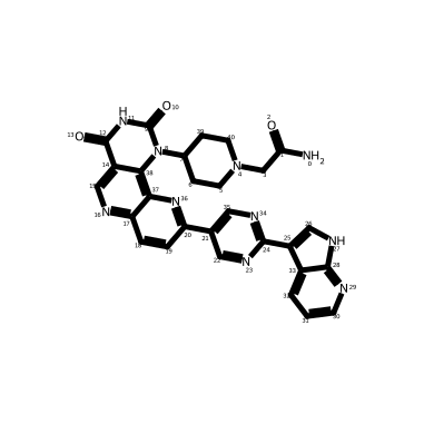 NC(=O)CN1CCC(n2c(=O)[nH]c(=O)c3cnc4ccc(-c5cnc(-c6c[nH]c7ncccc67)nc5)nc4c32)CC1